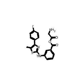 Cc1sc(Nc2cccc(C(=O)OC(=O)CN)c2)nc1-c1ccc(F)cc1